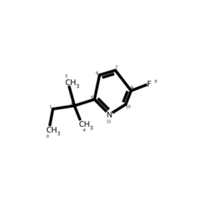 CCC(C)(C)c1ccc(F)cn1